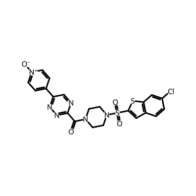 O=C(c1ncc(-c2cc[n+]([O-])cc2)nn1)N1CCN(S(=O)(=O)c2cc3ccc(Cl)cc3s2)CC1